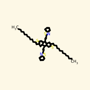 CCCCCCCCCCCCc1cc2cc3c(C#Cc4nc5ccccc5s4)c4cc5sc(CCCCCCCCCCCC)cc5cc4c(C#Cc4nc5ccccc5s4)c3cc2s1